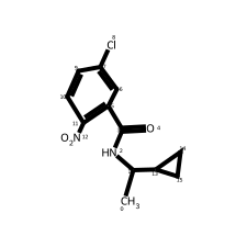 CC(NC(=O)c1cc(Cl)ccc1[N+](=O)[O-])C1CC1